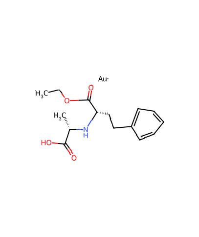 CCOC(=O)[C@H](CCc1ccccc1)N[C@@H](C)C(=O)O.[Au]